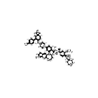 O=C(NS(=O)(=O)c1ccc(NCC2(F)CCOCC2)c([N+](=O)[O-])c1)c1ccc(N2CCN(CC3=C(c4ccc(Cl)cc4)CC4(CC3)COC4)CC2)cc1N1CCCOc2nc3[nH]ccc3cc21